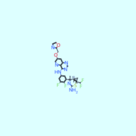 C[C@]1(c2cc(Nc3ncnc4cc(OCc5ncco5)cnc34)cc(F)c2F)N=C(N)S[C@@]2(C(F)F)C[C@@H]12